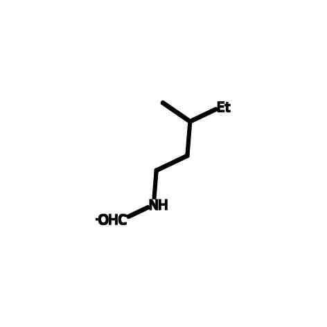 CCC(C)CCN[C]=O